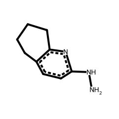 NNc1ccc2c(n1)CCCC2